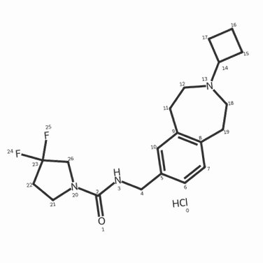 Cl.O=C(NCc1ccc2c(c1)CCN(C1CCC1)CC2)N1CCC(F)(F)C1